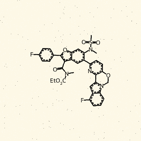 CCOC(=O)N(C)C(=O)c1c(-c2ccc(F)cc2)oc2cc(N(C)S(C)(=O)=O)c(-c3ccc4c(n3)-c3cc5c(F)cccc5n3CO4)cc12